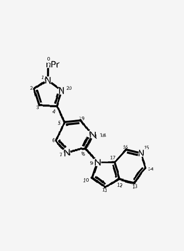 CCCn1ccc(-c2cnc(-n3ccc4ccncc43)nc2)n1